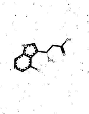 N[C@@H](CC(=O)O)c1c[nH]c2cccc(Cl)c12